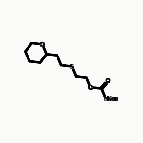 CCCCCCCCCC(=O)OCCSCCC1CCCCO1